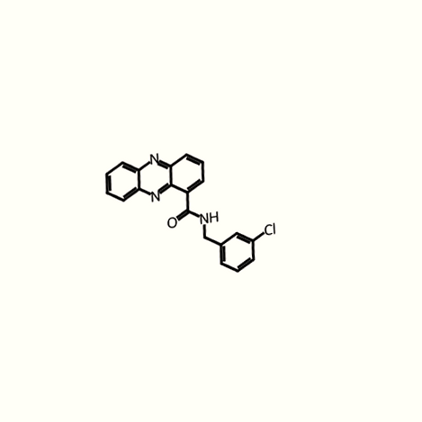 O=C(NCc1cccc(Cl)c1)c1cccc2nc3ccccc3nc12